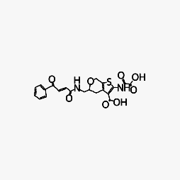 O=C(C=CC(=O)c1ccccc1)NCC1Cc2c(sc(NC(=O)C(=O)O)c2C(=O)O)CO1